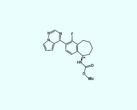 CC(C)(C)OC(=O)N[C@@H]1CCCCc2c1ccc(-c1ncnn3cccc13)c2F